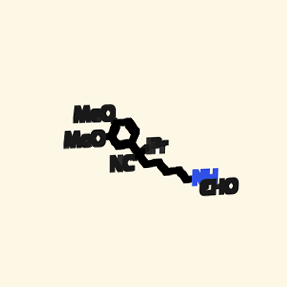 COc1ccc(C(C#N)(CCCCCNC=O)C(C)C)cc1OC